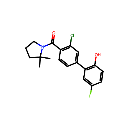 CC1(C)CCCN1C(=O)c1ccc(-c2cc(F)ccc2O)cc1Cl